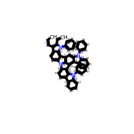 C=Cc1c(/C=C\C)c2ccc3c(c4cc5c(c6ccccc6n5-c5ccccc5)c5c6c7c(ccc6n3c45)c3ccccc3n7-c3ccccc3)c2n1-c1ccccc1